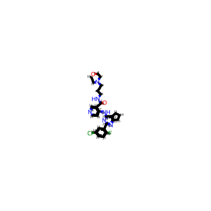 O=C(NCCCN1CCOCC1)c1cnccc1Nc1nc(-c2cc(Cl)ccc2F)nc2c1CCC2